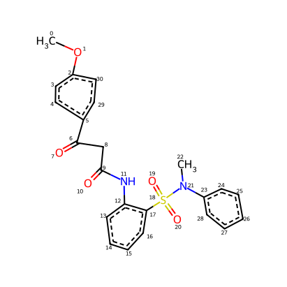 COc1ccc(C(=O)CC(=O)Nc2ccccc2S(=O)(=O)N(C)c2ccccc2)cc1